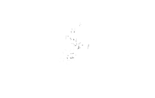 C[C@@H]1Cc2c(ccc3c2oc(=O)n3C(c2ccccc2)(c2ccccc2)c2ccccc2)[C@@H](c2ncc(NC3CN(CCCF)C3)cc2F)N1CC(F)(F)F